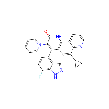 O=c1[nH]c2c(cc(C3CC3)c3ncccc32)c(-c2ccc(F)c3[nH]ncc23)c1-[n+]1ccccc1